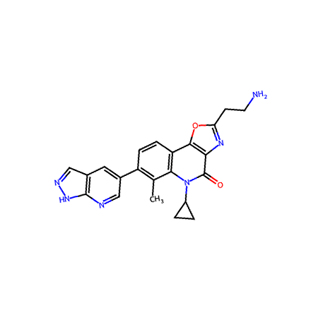 Cc1c(-c2cnc3[nH]ncc3c2)ccc2c3oc(CCN)nc3c(=O)n(C3CC3)c12